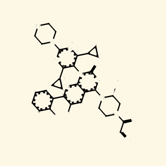 C=CC(=O)N1CCN(c2nc(=O)n(-c3c(C4CC4)nc(N4CCNCC4)nc3C3CC3)c3nc(-c4ccccc4F)c(Cl)cc23)[C@@H](C)C1